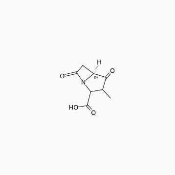 CC1C(=O)[C@@H]2CC(=O)N2C1C(=O)O